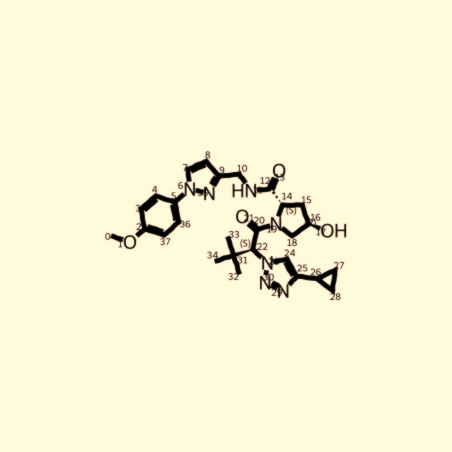 COc1ccc(-n2ccc(CNC(=O)[C@@H]3C[C@@H](O)CN3C(=O)[C@@H](n3cc(C4CC4)nn3)C(C)(C)C)n2)cc1